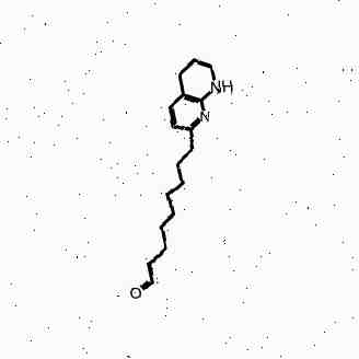 O=[C]CCCCCCCCc1ccc2c(n1)NCCC2